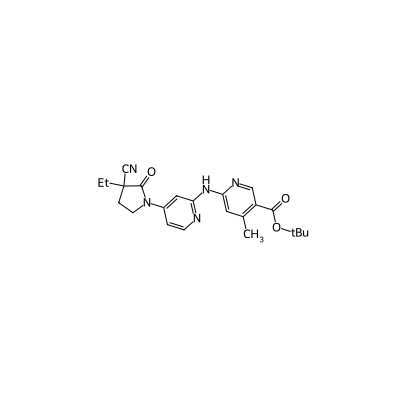 CCC1(C#N)CCN(c2ccnc(Nc3cc(C)c(C(=O)OC(C)(C)C)cn3)c2)C1=O